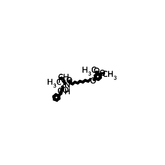 COc1ccc(OCCCCCCCCC(=O)N[C@H](CC(=O)OCc2ccccc2)CN(C)C)cc1OC